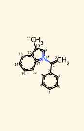 C=C(c1ccccc1)n1cc(C)c2ccccc21